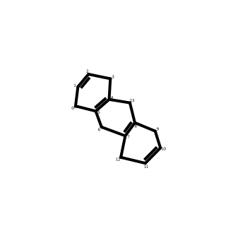 [C]1C=CCC2=C1CC1=C(CC=CC1)C2